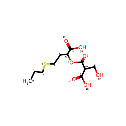 CCCSCCC(OC(=O)C(CO)C(=O)O)C(=O)O